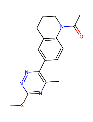 CSc1nnc(-c2ccc3c(c2)CCCN3C(C)=O)c(C)n1